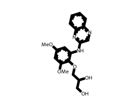 COc1cc(Nc2[c]nc3ccccc3n2)c(OCC(O)CO)c(OC)c1